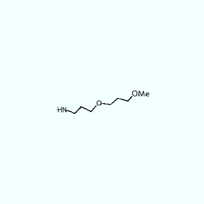 COCCCOCCC[NH]